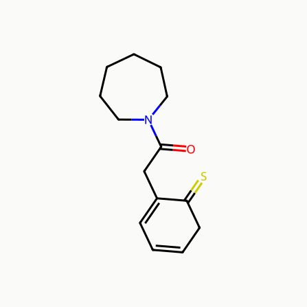 O=C(CC1=CC=CCC1=S)N1CCCCCC1